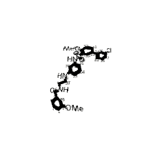 COc1cccc(C(=O)NCCNc2cccc(NS(=O)(=O)c3cc(-c4cccc(Cl)c4)ccc3OC)c2)c1